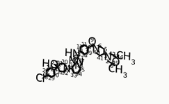 CC1CN(C2CCN(C(=O)c3ccc(Nc4nc5c(N6CCC(O)(c7ccc(Cl)cc7)CC6)cccn5n4)cc3)CC2)CC(C)O1